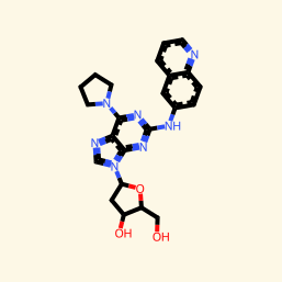 OCC1OC(n2cnc3c(N4CCCC4)nc(Nc4ccc5ncccc5c4)nc32)CC1O